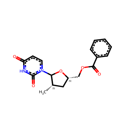 C[C@H]1C[C@@H](COC(=O)c2ccccc2)OC1n1ccc(=O)[nH]c1=O